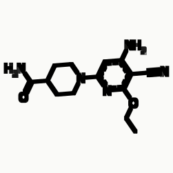 CCOc1nc(N2CCC(C(N)=O)CC2)cc(N)c1C#N